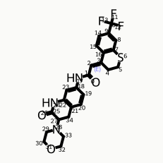 O=C(/C=C1\CCSc2cc(C(F)(F)F)ccc21)Nc1ccc2c(c1)NC(=O)C(N1CCOCC1)C2